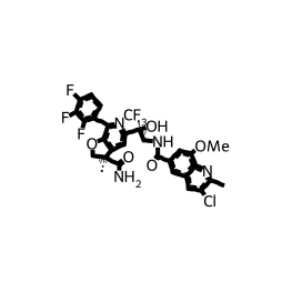 COc1cc(C(=O)NC[C@](O)(c2cc3c(c(-c4ccc(F)c(F)c4F)n2)OC[C@]3(C)C(N)=O)C(F)(F)F)cc2cc(Cl)c(C)nc12